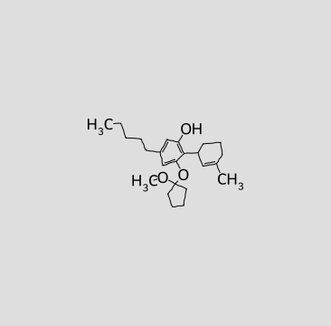 CCCCCc1cc(O)c(C2C=C(C)CCC2)c(OC2(OC)CCCC2)c1